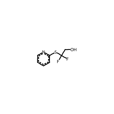 OCC(F)(F)Sc1ccccn1